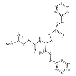 CNC(C)CCC(=O)NC(CCC(=O)OCc1ccccc1)C(=O)OCc1ccccc1